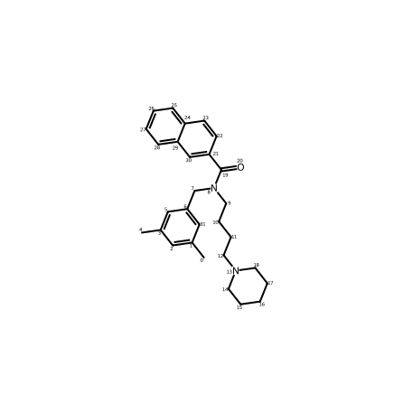 Cc1cc(C)cc(CN(CCCCN2CCCCC2)C(=O)c2ccc3ccccc3c2)c1